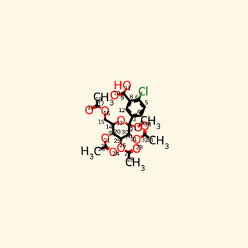 COC1(c2ccc(Cl)c(C(=O)O)c2)OC(COC(C)=O)[C@@H](OC(C)=O)C(OC(C)=O)[C@H]1OC(C)=O